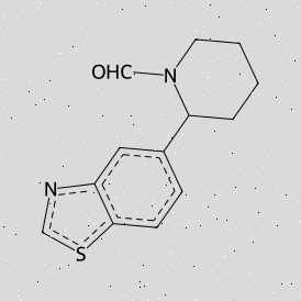 O=CN1CCCCC1c1ccc2scnc2c1